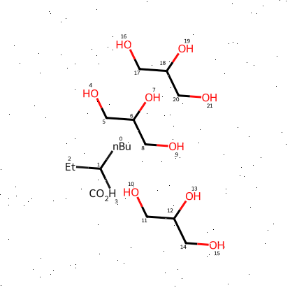 CCCCC(CC)C(=O)O.OCC(O)CO.OCC(O)CO.OCC(O)CO